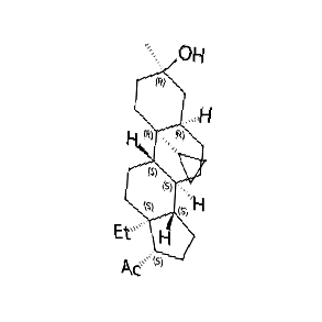 CC[C@]12CC[C@H]3[C@@H](CC[C@@H]4C[C@](C)(O)CC[C@@]43C3CC3)[C@@H]1CC[C@@H]2C(C)=O